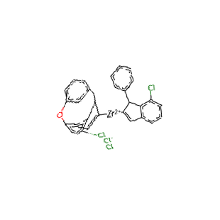 Clc1cccc2c1C(c1ccccc1)[C]([Zr+2][C]1=Cc3c4ccc(Cl)c3C1c1cccc(c1)O4)=C2.[Cl-].[Cl-]